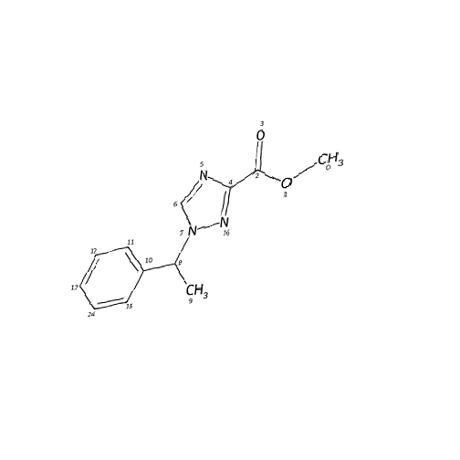 COC(=O)c1ncn(C(C)c2ccccc2)n1